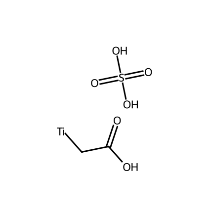 O=C(O)[CH2][Ti].O=S(=O)(O)O